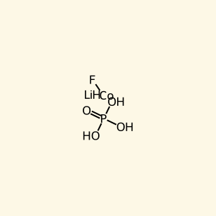 O=P(O)(O)O.[F][Co].[LiH]